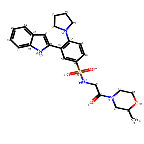 CC1CN(C(=O)CNS(=O)(=O)c2ccc(N3CCCC3)c(-c3cc4ccccc4[nH]3)c2)CCO1